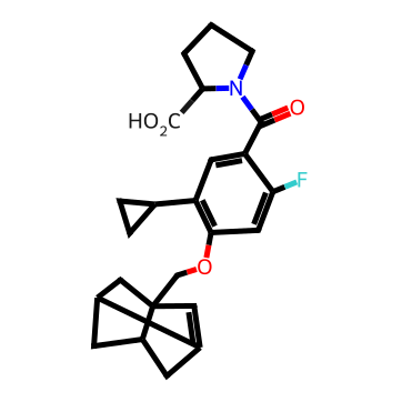 O=C(O)C1CCCN1C(=O)c1cc(C2CC2)c(OCC23C=C4CC2CC4C3)cc1F